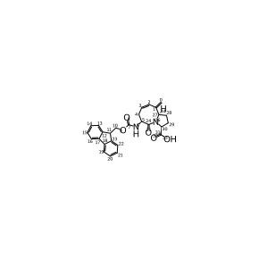 C=C1/C=C\C[C@H](NC(=O)OCC2c3ccccc3-c3ccccc32)C(=O)N2[C@@H]1CC[C@H]2C(=O)O